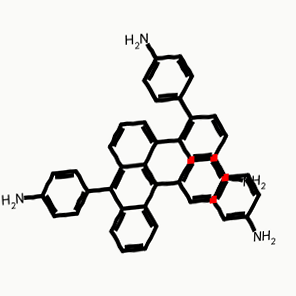 Nc1ccc(-c2ccc(-c3ccc(N)cc3)c(-c3cccc4c(-c5ccc(N)cc5)c5ccccc5c(-c5ccc(N)cc5)c34)c2)cc1